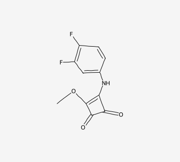 COc1c(Nc2ccc(F)c(F)c2)c(=O)c1=O